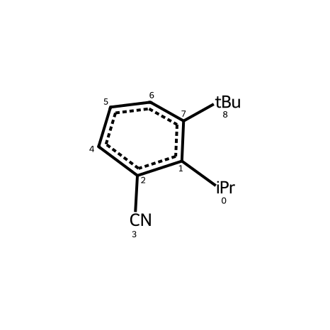 CC(C)c1c(C#N)cccc1C(C)(C)C